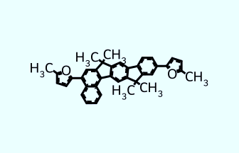 Cc1ccc(-c2ccc3c(c2)C(C)(C)c2cc4c(cc2-3)C(C)(C)c2cc(-c3ccc(C)o3)c3ccccc3c2-4)o1